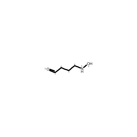 O=CC[CH]CNO